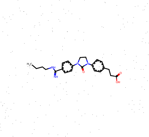 CCCCNC(=N)c1ccc(N2CCN(c3ccc(CCC(=O)O)cc3)C2=O)cc1